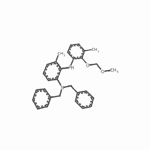 COCOc1c(C)cccc1Pc1c(C)cccc1N(Cc1ccccc1)Cc1ccccc1